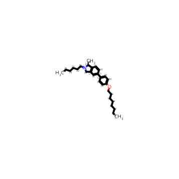 CCCCCCCCOc1ccc(-c2ccc3c(c2)CN(CCCCCC)[C@H]3C)cc1